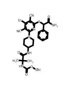 CCc1c(C#N)c(SC(C(N)=O)c2ccccc2)nc(N2CCC(NC(=O)C(C)(C)NC(=O)OC(C)(C)C)CC2)c1C#N